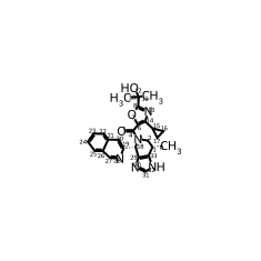 C[C@H]1CN(C(=O)c2oc(C(C)(C)O)nc2C2CC2)[C@@H](c2cc3ccccc3cn2)c2nc[nH]c21